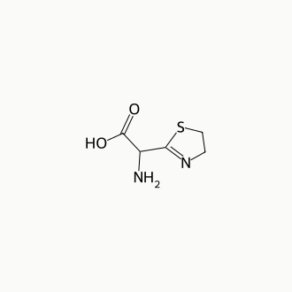 NC(C(=O)O)C1=NCCS1